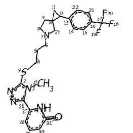 Cn1c(SCCCN2CCC3(CC3c3ccc(C(F)(F)F)cc3)C2)nnc1-c1cccc(=O)[nH]1